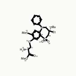 CCCC[C@@]1(CC)CN(c2ccccc2)c2cc(SC)c(OC[C@@H](N)C(=O)OC)cc2S(=O)(=O)C1